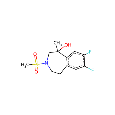 CC1(O)CN(S(C)(=O)=O)CCc2cc(F)c(F)cc21